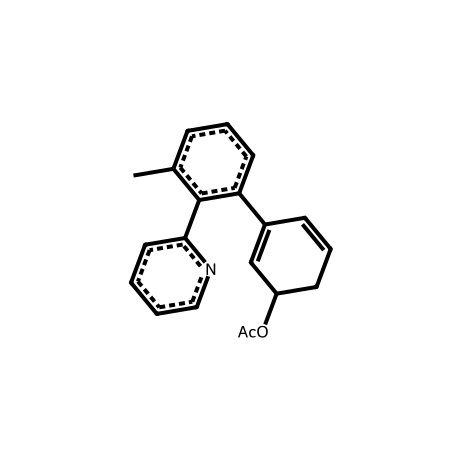 CC(=O)OC1C=C(c2cccc(C)c2-c2ccccn2)C=CC1